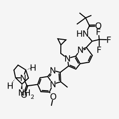 COc1cc(C(=O)N2[C@H]3CC[C@@H]2[C@H](N)C3)cc2nc(-c3cc4ccc(C(NC(=O)C(C)(C)C)C(F)(F)F)nc4n3CC3CC3)c(C)n12